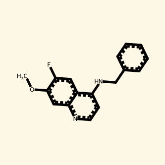 COc1cc2nccc(NCc3ccccc3)c2cc1F